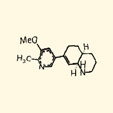 COc1cc(C2=C[C@@H]3NCCC[C@@H]3CC2)cnc1C